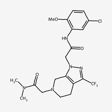 COc1ccc(Cl)cc1NC(=O)Cn1nc(C(F)(F)F)c2c1CN(CC(=O)N(C)C)CC2